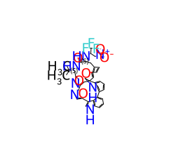 CC(C)[C@@H]1NC(=O)[C@@H](NC(C[N+](=O)[O-])C(F)(F)F)Cc2ccc3c(c2)C24c5cccc(c5NC2O3)-c2cccc3[nH]cc(c23)-c2cnc(o2)-c2nc1oc24